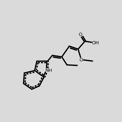 CCC(/C=C(\OC)C(=O)O)=C\c1cc2ccccc2[nH]1